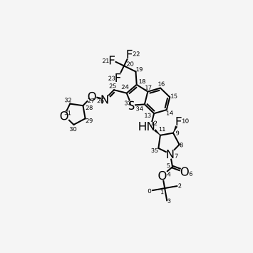 CC(C)(C)OC(=O)N1C[C@H](F)[C@H](Nc2cccc3c(CC(F)(F)F)c(/C=N/OC4CCOC4)sc23)C1